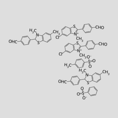 C[n+]1c(-c2ccc(C=O)cc2)sc2ccc(Cl)cc21.C[n+]1c(-c2ccc(C=O)cc2)sc2ccc(Cl)cc21.Cc1ccc(S(=O)(=O)[O-])cc1.Cc1ccc2c(c1)N(C)C(c1ccc(C=O)cc1)S2.Cc1ccc2c(c1)N(C)C(c1ccc(C=O)cc1)S2.O=S(=O)([O-])c1ccccc1